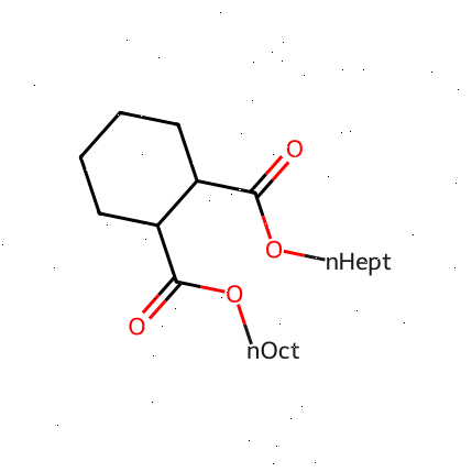 CCCCCCCCOC(=O)C1CCCCC1C(=O)OCCCCCCC